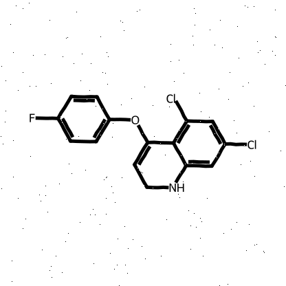 Fc1ccc(OC2=CCNc3cc(Cl)cc(Cl)c32)cc1